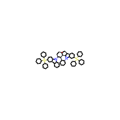 C1=CC(n2c3ccccc3c3cc(S(c4ccccc4)(c4ccccc4)c4ccccc4)ccc32)=C2c3ccccc3-n3c4c(c5ccc(S(c6ccccc6)(c6ccccc6)c6ccccc6)cc53)C=CC24C1